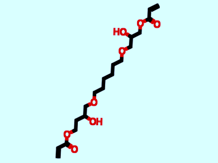 C=CC(=O)OCCC(O)COCCCCCCOCC(O)COC(=O)C=C